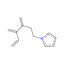 C=CC(=C)C(=C)CCn1cccc1